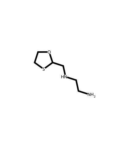 NCCNCC1OCCS1